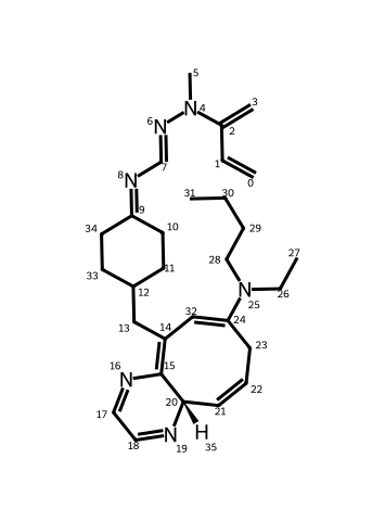 C=CC(=C)N(C)/N=C/N=C1CCC(CC2=C3\N=CC=N[C@H]3C=CC/C(N(CC)CCCC)=C\2)CC1